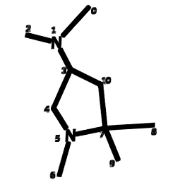 CN(C)C1CN(C)C(C)(C)C1